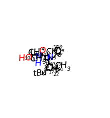 Cc1c(C(=O)NCC(C)(C)O)cc(-c2cc(C(C)(C)C)cc(C3(C)CC3)c2)n1CC1CCCCC1